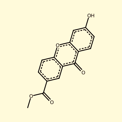 COC(=O)c1ccc2oc3cc(O)ccc3c(=O)c2c1